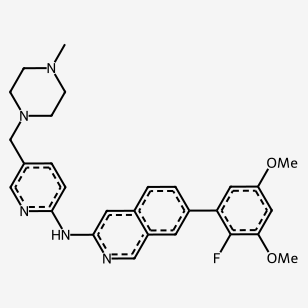 COc1cc(OC)c(F)c(-c2ccc3cc(Nc4ccc(CN5CCN(C)CC5)cn4)ncc3c2)c1